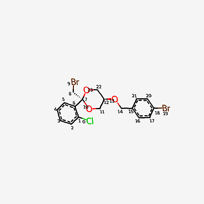 Clc1ccccc1[C@]1(CBr)OC[C@H](OCc2ccc(Br)cc2)CO1